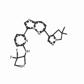 CC1(C)Cc2c(-c3ccc4ncc(-c5cccc(NC6CNCC6(F)F)n5)n4n3)cnn2C1